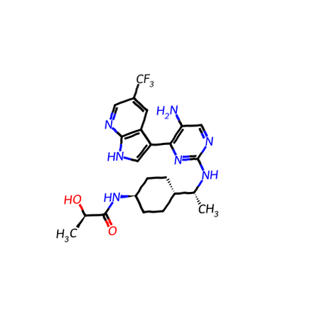 C[C@@H](O)C(=O)N[C@H]1CC[C@H]([C@@H](C)Nc2ncc(N)c(-c3c[nH]c4ncc(C(F)(F)F)cc34)n2)CC1